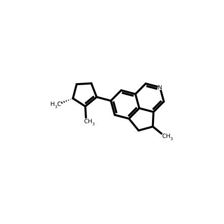 CC1=C(c2cc3c4c(cncc4c2)C(C)C3)CC[C@H]1C